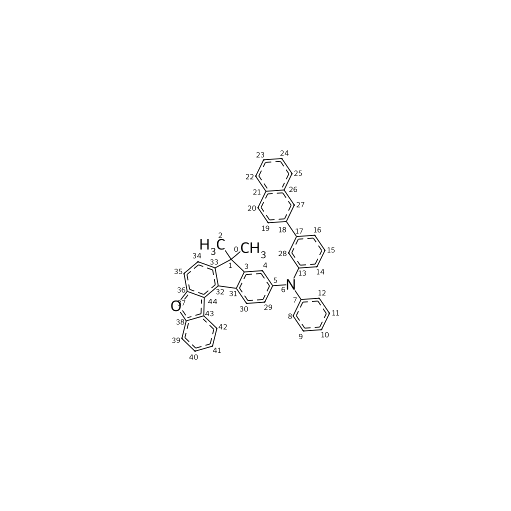 CC1(C)c2cc(N(c3ccccc3)c3cccc(-c4ccc5ccccc5c4)c3)ccc2-c2c1ccc1oc3ccccc3c21